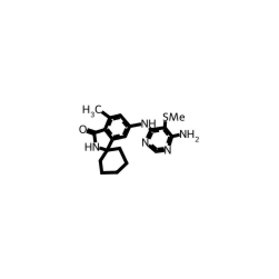 CSc1c(N)ncnc1Nc1cc(C)c2c(c1)C1(CCCCC1)NC2=O